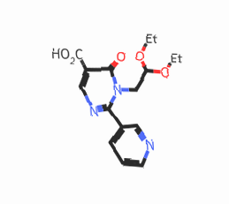 CCOC(Cn1c(-c2cccnc2)ncc(C(=O)O)c1=O)OCC